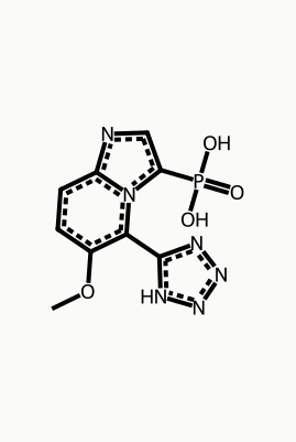 COc1ccc2ncc(P(=O)(O)O)n2c1-c1nnn[nH]1